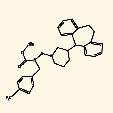 CC(C)(C)OC(=O)N(Cc1ccc(C(F)(F)F)cc1)SN1CCCC(C2c3ccccc3CCc3ccccc32)C1